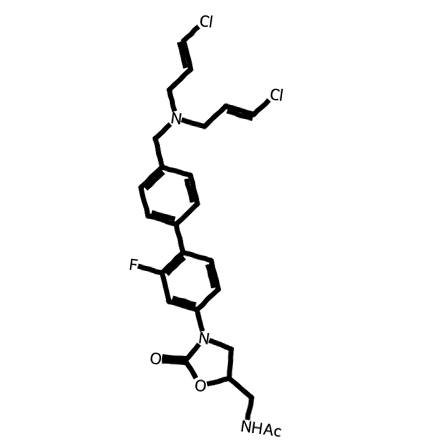 CC(=O)NCC1CN(c2ccc(-c3ccc(CN(CC=CCl)CC=CCl)cc3)c(F)c2)C(=O)O1